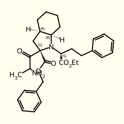 CCOC(=O)[C@H](CCc1ccccc1)N1[C@@H]2CCCC[C@@H]2C[C@@]1(C(=O)OCc1ccccc1)C(=O)C(C)N